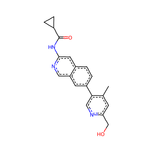 Cc1cc(CO)ncc1-c1ccc2cc(NC(=O)C3CC3)ncc2c1